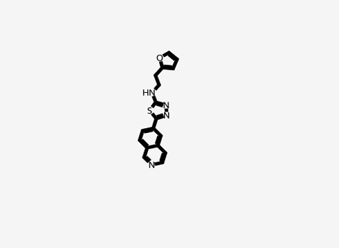 c1coc(CCNc2nnc(-c3ccc4cnccc4c3)s2)c1